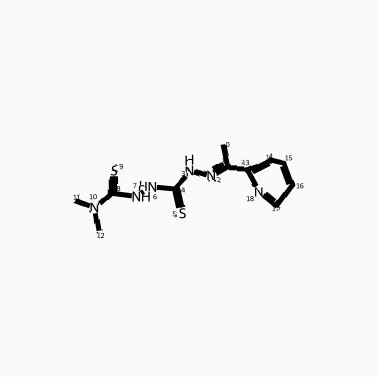 CC(=NNC(=S)NNC(=S)N(C)C)c1ccccn1